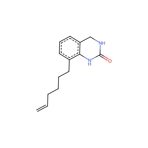 C=CCCCCc1cccc2c1NC(=O)NC2